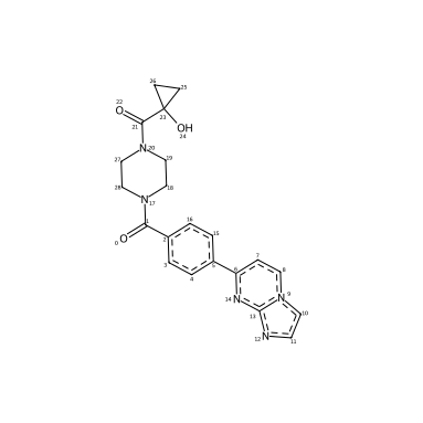 O=C(c1ccc(-c2ccn3ccnc3n2)cc1)N1CCN(C(=O)C2(O)CC2)CC1